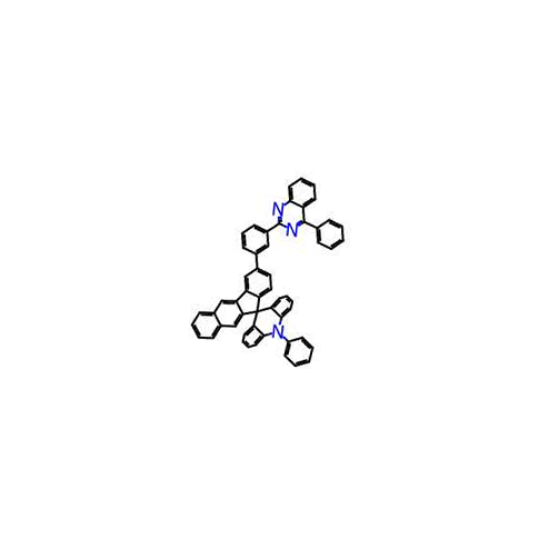 c1ccc(-c2nc(-c3cccc(-c4ccc5c(c4)-c4cc6ccccc6cc4C54c5ccccc5N(c5ccccc5)c5ccccc54)c3)nc3ccccc23)cc1